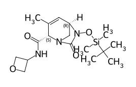 CC1=C[C@@H]2CN(C(=O)N2O[Si](C)(C)C(C)(C)C)[C@@H]1C(=O)NC1COC1